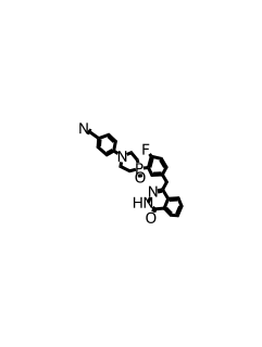 N#Cc1ccc(N2CCP(=O)(c3cc(Cc4n[nH]c(=O)c5ccccc45)ccc3F)CC2)cc1